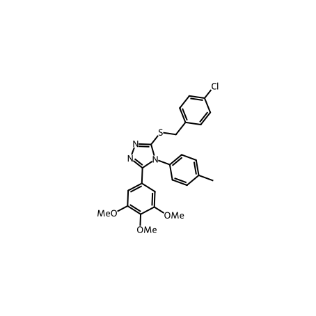 COc1cc(-c2nnc(SCc3ccc(Cl)cc3)n2-c2ccc(C)cc2)cc(OC)c1OC